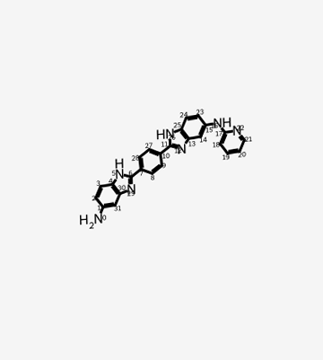 Nc1ccc2[nH]c(-c3ccc(-c4nc5cc(Nc6ccccn6)ccc5[nH]4)cc3)nc2c1